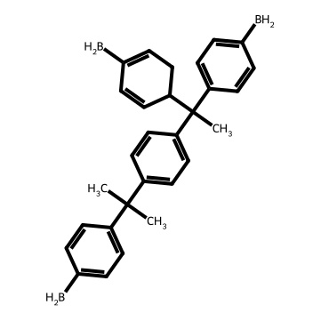 BC1=CCC(C(C)(c2ccc(B)cc2)c2ccc(C(C)(C)c3ccc(B)cc3)cc2)C=C1